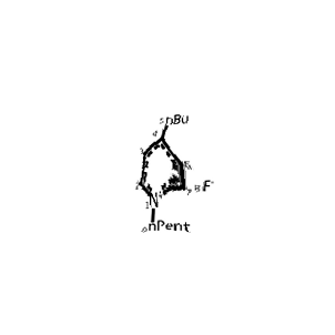 CCCCC[n+]1ccc(CCCC)cc1.[F-]